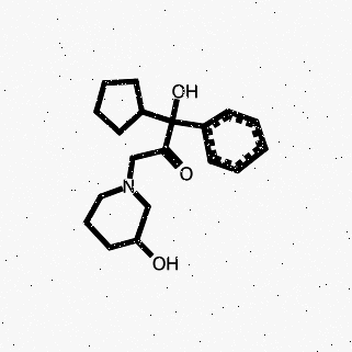 O=C(CN1CCCC(O)C1)C(O)(c1ccccc1)C1CCCC1